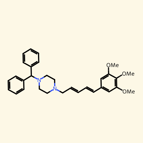 COc1cc(C=CC=CCN2CCN(C(c3ccccc3)c3ccccc3)CC2)cc(OC)c1OC